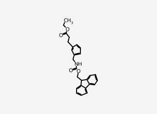 CCOC(=O)CCc1cccc(CNC(=O)OCC2c3ccccc3-c3ccccc32)c1